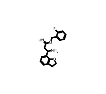 N=C(CC(N)c1cccc2c1OCC2)OCc1ccccc1F